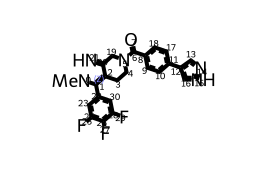 CN/C(=C1/CCN(C(=O)c2ccc(-c3cn[nH]c3)cc2)CC1=N)c1cc(F)c(F)c(F)c1